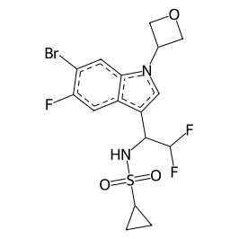 O=S(=O)(NC(c1cn(C2COC2)c2cc(Br)c(F)cc12)C(F)F)C1CC1